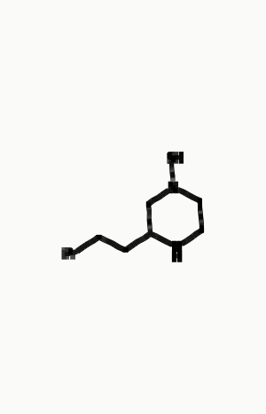 CC(C)CCC1CN(S)CCN1